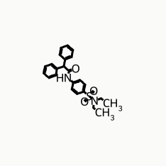 CCN(CC)S(=O)(=O)c1ccc(NC(=O)C(c2ccccc2)c2ccccc2)cc1